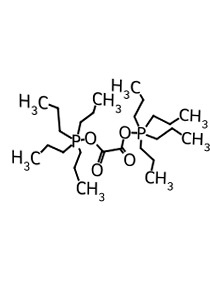 CCCP(CCC)(CCC)(CCC)OC(=O)C(=O)OP(CCC)(CCC)(CCC)CCC